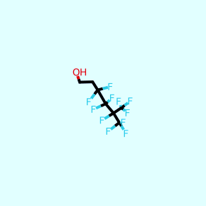 OCCC(F)(F)C(F)(F)C(F)(C(F)(F)F)C(F)(F)F